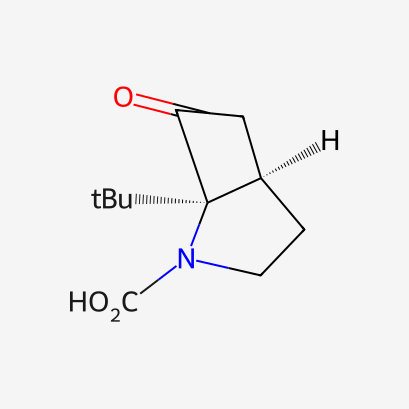 CC(C)(C)[C@]12C(=O)C[C@H]1CCN2C(=O)O